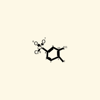 Cc1ccc(S(=O)(=O)Cl)cc1I